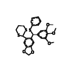 COc1cc(C(Sc2ccccc2)c2cc3c(cc2C2SCCCS2)OCO3)cc(OC)c1OC